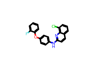 Fc1ccccc1Oc1ccc(Nc2ccc3cccc(Cl)c3n2)cc1